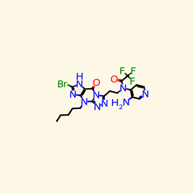 CCCCCn1c2nc(Br)[nH]c2c(=O)n2c(CCN(C(=O)C(F)(F)F)c3ccncc3N)nnc12